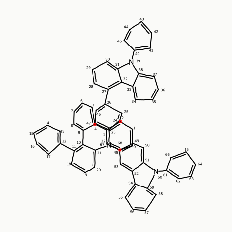 c1ccc(-c2ccccc2-c2c(-c3ccccc3)cccc2N(c2ccc(-c3cccc4c3c3ccccc3n4-c3ccccc3)cc2)c2ccc3c(c2)c2ccccc2n3-c2ccccc2)cc1